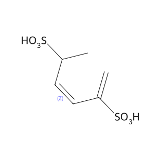 C=C(/C=C\C(C)S(=O)(=O)O)S(=O)(=O)O